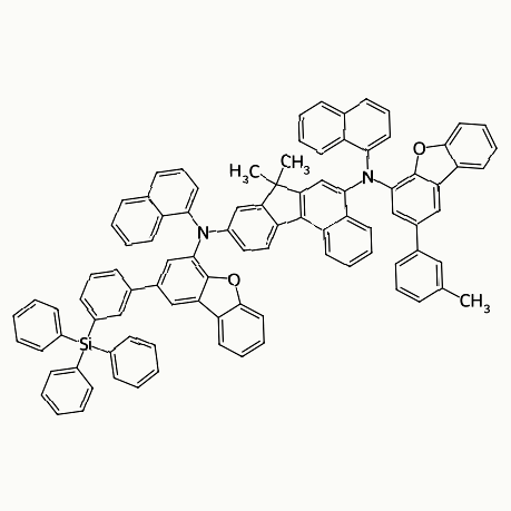 Cc1cccc(-c2cc(N(c3cccc4ccccc34)c3cc4c(c5ccccc35)-c3ccc(N(c5cccc6ccccc56)c5cc(-c6cccc([Si](c7ccccc7)(c7ccccc7)c7ccccc7)c6)cc6c5oc5ccccc56)cc3C4(C)C)c3oc4ccccc4c3c2)c1